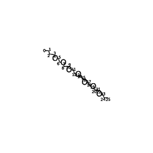 CCCCOCCOCCOCCOCCOCCOCCOCCC